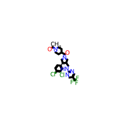 CC(=O)N1CCC(C(=O)N2CC(CNc3ncc(C(F)(F)F)cn3)[C@@H](c3ccc(Cl)c(Cl)c3)C2)CC1